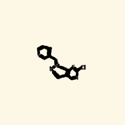 Clc1ncc2cnn(Cc3cccnc3)c2n1